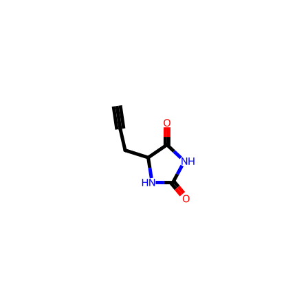 C#CCC1NC(=O)NC1=O